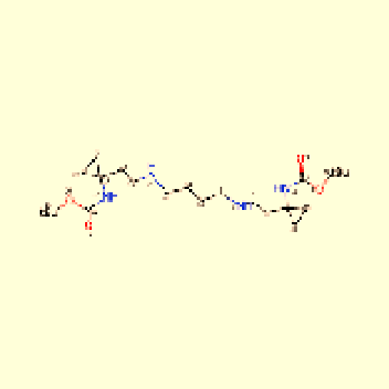 CC(C)(C)OC(=O)NC1(CCNCCCCNCCC2(NC(=O)OC(C)(C)C)CC2)CC1